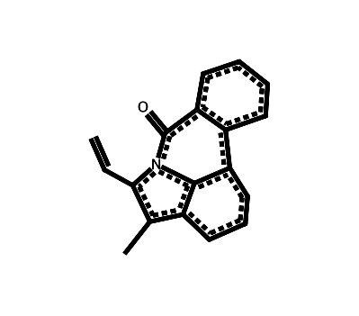 C=Cc1c(C)c2cccc3c4ccccc4c(=O)n1c23